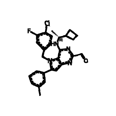 Cc1cccc(-c2cc3nc(C=O)nc(N[C@H](C)C4CCC4)c3n2Cc2ccc(Cl)c(F)c2)c1